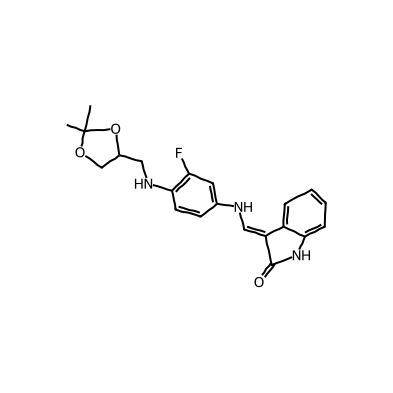 CC1(C)OCC(CNc2ccc(N/C=C3/C(=O)Nc4ccccc43)cc2F)O1